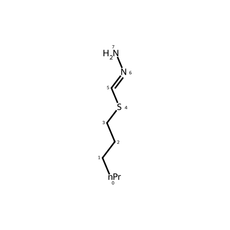 CCCCCCS/C=N/N